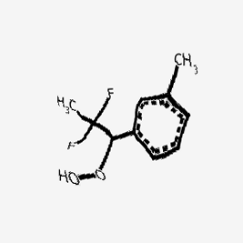 Cc1cccc(C(OO)C(C)(F)F)c1